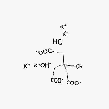 Cl.O=C([O-])CC(O)(CC(=O)[O-])C(=O)[O-].[K+].[K+].[K+].[K+].[OH-]